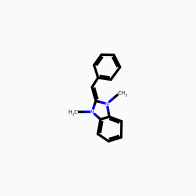 CN1C(=Cc2ccccc2)N(C)c2ccccc21